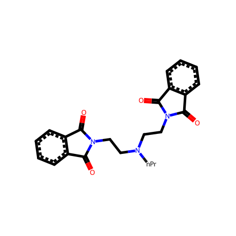 CCCN(CCN1C(=O)c2ccccc2C1=O)CCN1C(=O)c2ccccc2C1=O